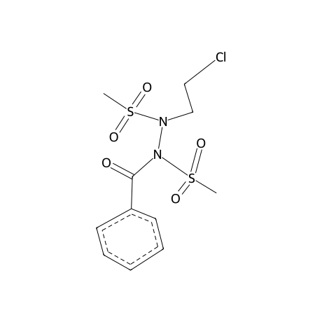 CS(=O)(=O)N(CCCl)N(C(=O)c1ccccc1)S(C)(=O)=O